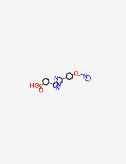 O=S(O)c1cccc(-c2cnn3cc(-c4ccc(OCCN5CCCC5)cc4)cnc23)c1